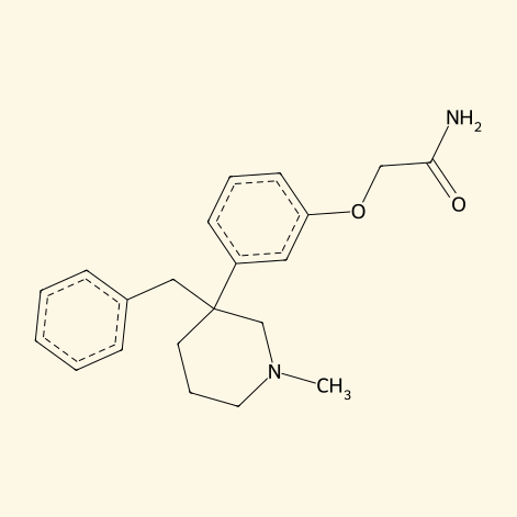 CN1CCCC(Cc2ccccc2)(c2cccc(OCC(N)=O)c2)C1